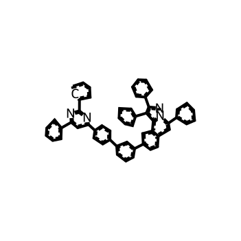 c1ccc(-c2cc(-c3ccc(-c4cccc(-c5ccc6cc(-c7ccccc7)n7nc(-c8ccccc8)c(-c8ccccc8)c7c6c5)c4)cc3)nc(-c3ccccc3)n2)cc1